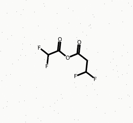 O=C(CC(F)F)OC(=O)C(F)F